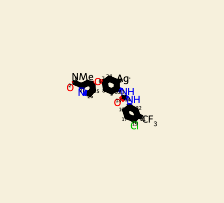 CNC(=O)c1cc(Oc2ccc(NC(=O)Nc3ccc(Cl)c(C(F)(F)F)c3)cc2)ccn1.[Ag]